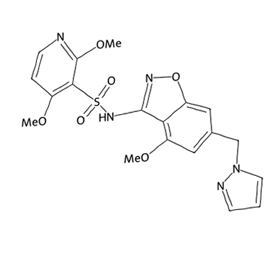 COc1ccnc(OC)c1S(=O)(=O)Nc1noc2cc(Cn3cccn3)cc(OC)c12